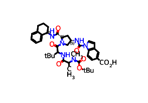 CC(C(=O)NC(C(=O)N1C[C@@H](NC(=O)n2ccc3cc(C(=O)O)ccc32)C[C@H]1C(=O)N[C@@H]1CCCc2ccccc21)C(C)(C)C)N(C)C(=O)OC(C)(C)C